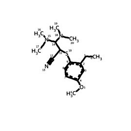 CCc1cc(OC)ccc1SC(C#N)C(N(C)C)N(C)C